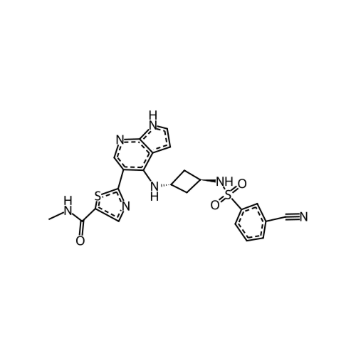 CNC(=O)c1cnc(-c2cnc3[nH]ccc3c2N[C@H]2C[C@H](NS(=O)(=O)c3cccc(C#N)c3)C2)s1